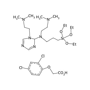 CCO[Si](CCCN(CCN(C)C)C1N=CN=CN1CCN(C)C)(OCC)OCC.O=C(O)COc1ccc(Cl)cc1Cl